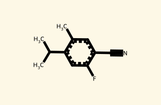 Cc1cc(C#N)c(F)cc1C(C)C